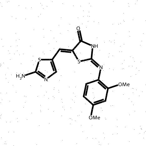 COc1ccc(/N=C2/NC(=O)/C(=C/c3cnc(N)s3)S2)c(OC)c1